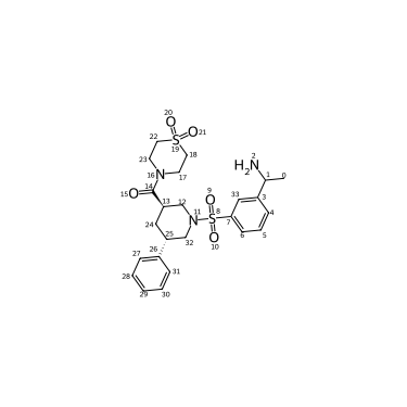 CC(N)c1cccc(S(=O)(=O)N2C[C@H](C(=O)N3CCS(=O)(=O)CC3)C[C@@H](c3ccccc3)C2)c1